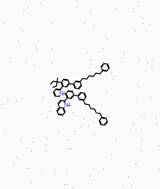 CCC(C)(CC)c1ccc(-c2cccc(CCCCCCc3ccccc3)c2)cc1-c1cccc[n+]1-c1ccc(-c2cccc(CCCCCCc3ccccc3)c2)cc1-c1ccc2ccccc2[n+]1C